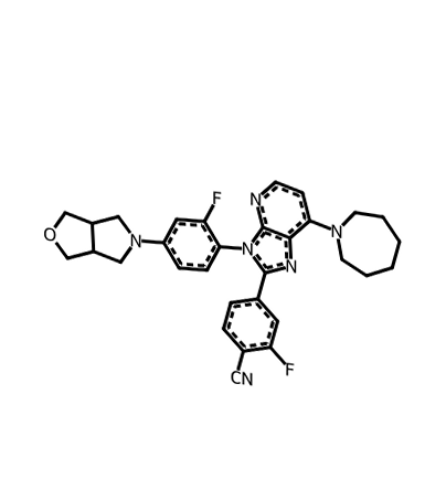 N#Cc1ccc(-c2nc3c(N4CCCCCC4)ccnc3n2-c2ccc(N3CC4COCC4C3)cc2F)cc1F